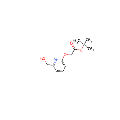 CC(C)(C)OC(=O)COc1cccc(CO)n1